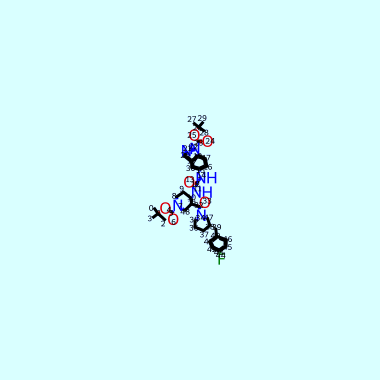 CC(C)(C)OC(=O)N1CCC(NC(=O)Nc2ccc3c(cnn3C(=O)OC(C)(C)C)c2)C(C(=O)N2CCC[C@@H](Cc3ccc(F)cc3)C2)C1